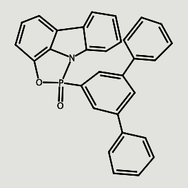 O=P1(c2cc(-c3ccccc3)cc(-c3ccccc3)c2)Oc2cccc3c4ccccc4n1c23